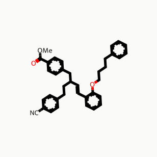 COC(=O)c1ccc(CC(C=Cc2ccccc2OCCCCc2ccccc2)CCc2ccc(C#N)cc2)cc1